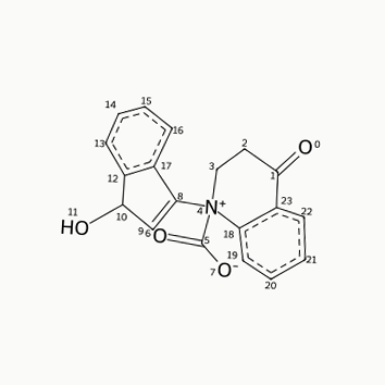 O=C1CC[N+](C(=O)[O-])(C2=CC(O)c3ccccc32)c2ccccc21